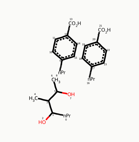 CCCC(O)C(C)C(C)O.CCCc1ccc(C(=O)O)cc1.CCCc1ccc(C(=O)O)cc1